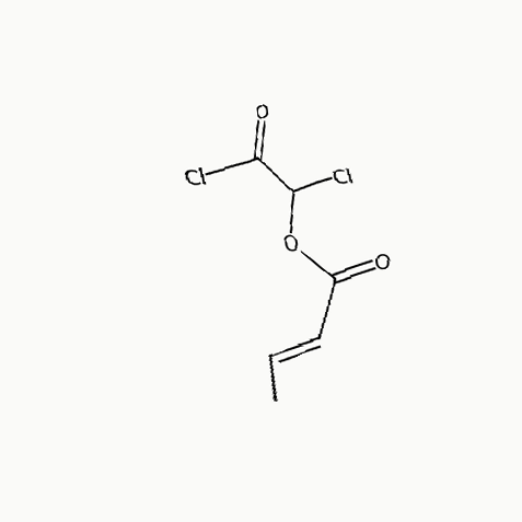 CC=CC(=O)OC(Cl)C(=O)Cl